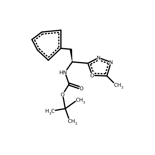 Cc1nnc([C@H](Cc2ccccc2)NC(=O)OC(C)(C)C)o1